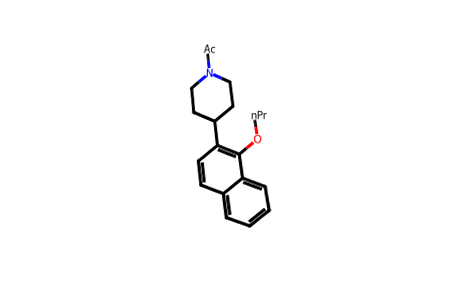 CCCOc1c(C2CCN(C(C)=O)CC2)ccc2ccccc12